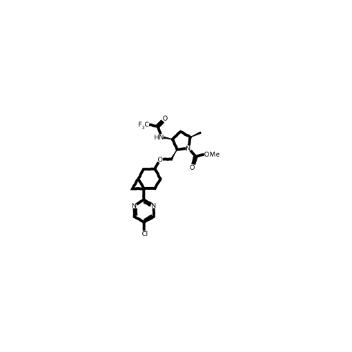 COC(=O)N1[C@H](C)C[C@H](NC(=O)C(F)(F)F)[C@@H]1COC1CCC2(c3ncc(Cl)cn3)CC2C1